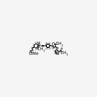 C=C1OC(c2ccc(C#C[C@H]3[C@@H]4CC/C(=C/CCOC)C[C@]34C)cc2)=CC1Cn1ccnc1[C@H](C)I